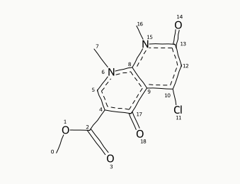 COC(=O)c1cn(C)c2c(c(Cl)cc(=O)n2C)c1=O